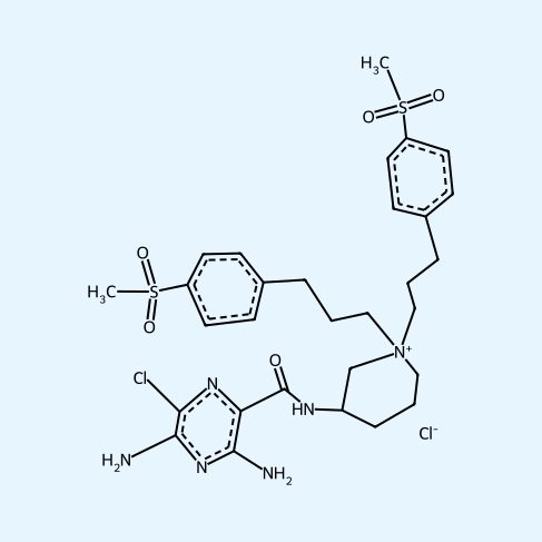 CS(=O)(=O)c1ccc(CCC[N+]2(CCCc3ccc(S(C)(=O)=O)cc3)CCCC(NC(=O)c3nc(Cl)c(N)nc3N)C2)cc1.[Cl-]